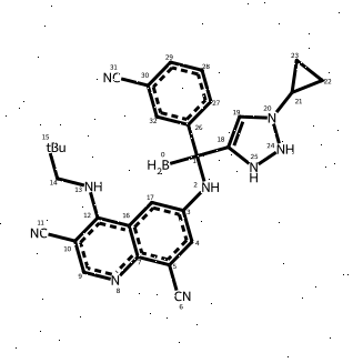 BC(Nc1cc(C#N)c2ncc(C#N)c(NCC(C)(C)C)c2c1)(C1=CN(C2CC2)NN1)c1cccc(C#N)c1